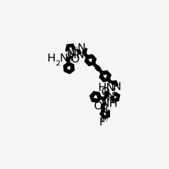 N[C@@H](C(=O)N1CCC[C@H]1c1ncc(-c2ccc(C#Cc3ccc(-c4cnc([C@@H]5CCCN5C(=O)[C@H](NC(=O)N5CC[C@H](F)C5)c5ccccc5)[nH]4)cc3)cc2)[nH]1)c1ccccc1